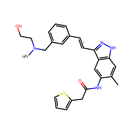 CCCN(CCO)Cc1cccc(/C=C/c2n[nH]c3cc(C)c(NC(=O)Cc4cccs4)cc23)c1